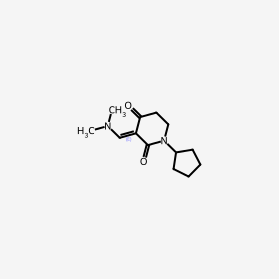 CN(C)/C=C1\C(=O)CCN(C2CCCC2)C1=O